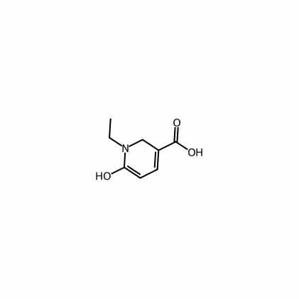 CCN1CC(C(=O)O)=CC=C1O